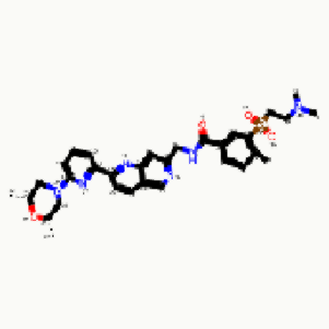 Cc1ccc(C(=O)NCc2cc3nc(-c4cccc(N5C[C@@H](C)O[C@@H](C)C5)n4)ccc3cn2)cc1S(=O)(=O)CCN(C)C